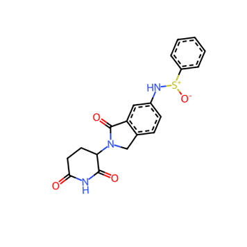 O=C1CCC(N2Cc3ccc(N[S+]([O-])c4ccccc4)cc3C2=O)C(=O)N1